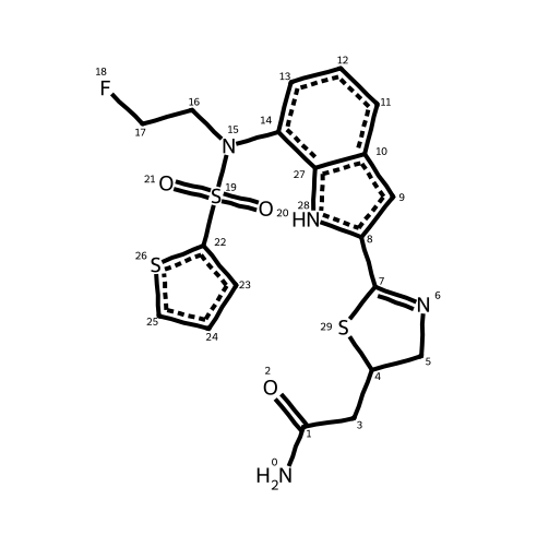 NC(=O)CC1CN=C(c2cc3cccc(N(CCF)S(=O)(=O)c4cccs4)c3[nH]2)S1